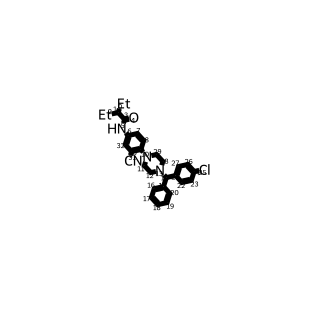 CCC(CC)C(=O)Nc1ccc(N2CCN(C(c3ccccc3)c3ccc(Cl)cc3)CC2)c(C#N)c1